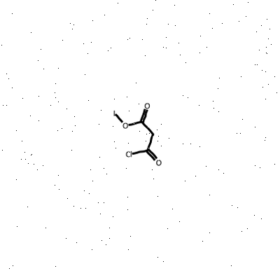 O=C(Cl)CC(=O)OI